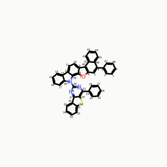 c1ccc(-c2cc3oc4c(ccc5c6ccccc6n(-c6nc(-c7ccccc7)c7sc8ccccc8c7n6)c54)c3c3ccccc23)cc1